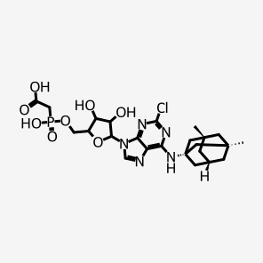 C[C@]12C[C@@H]3C[C@](C)(C1)C[C@@](Nc1nc(Cl)nc4c1ncn4C1OC(COP(=O)(O)CC(=O)O)C(O)C1O)(C3)C2